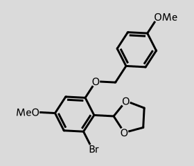 COc1ccc(COc2cc(OC)cc(Br)c2C2OCCO2)cc1